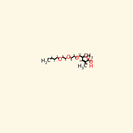 C=CCCOCCOCCOCC(C)C=C(C)C(=O)O